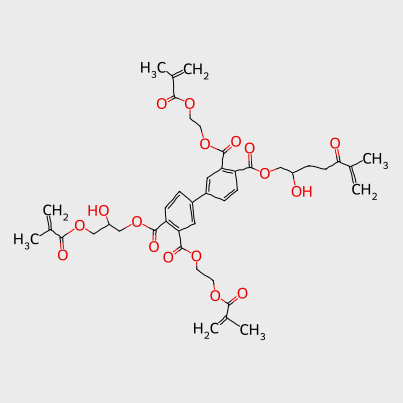 C=C(C)C(=O)CCC(O)COC(=O)c1ccc(-c2ccc(C(=O)OCC(O)COC(=O)C(=C)C)c(C(=O)OCCOC(=O)C(=C)C)c2)cc1C(=O)OCCOC(=O)C(=C)C